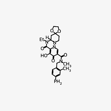 CCN1C(=O)c2c(O)c(=O)c(C(=O)N(C)Cc3ccc(P)cc3C)cn2N2CCC3(C[C@@H]12)OCCO3